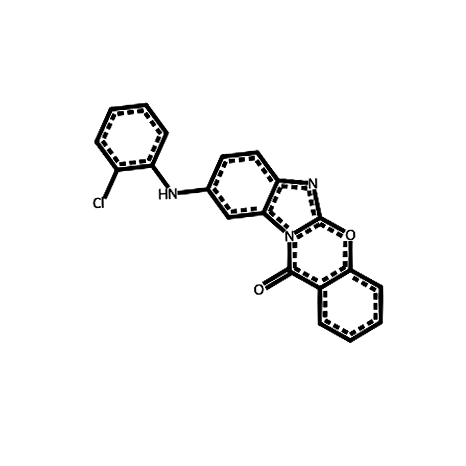 O=c1c2ccccc2oc2nc3ccc(Nc4ccccc4Cl)cc3n12